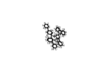 c1ccc(-c2ccc(N(c3cccc(-c4ccccc4)c3)c3cc(-n4c5ccccc5c5ccccc54)cc4c3oc3ccccc34)cc2)cc1